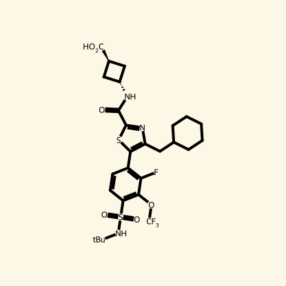 CC(C)(C)NS(=O)(=O)c1ccc(-c2sc(C(=O)N[C@H]3C[C@H](C(=O)O)C3)nc2CC2CCCCC2)c(F)c1OC(F)(F)F